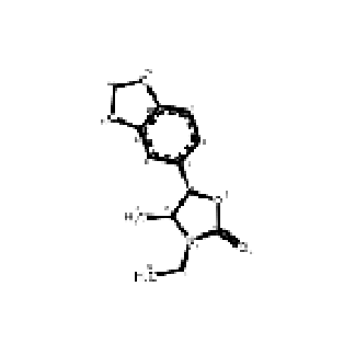 CCN1C(=O)O[C@H](c2ccc3c(c2)OCO3)[C@@H]1C